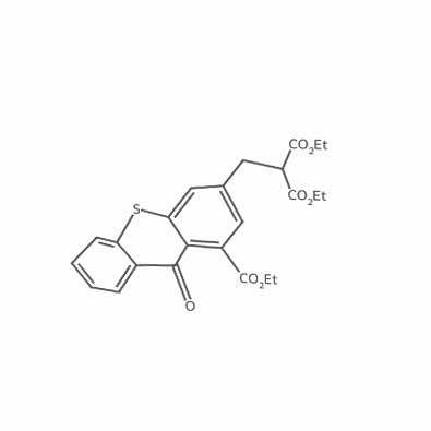 CCOC(=O)c1cc(CC(C(=O)OCC)C(=O)OCC)cc2sc3ccccc3c(=O)c12